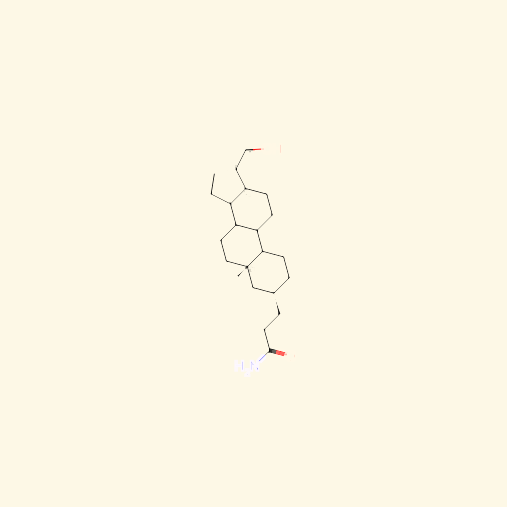 C[C@H](O)[C@H]1CCC2C3CC[C@H]4C[C@H](CCC(N)=O)CC[C@]4(C)C3CC[C@@]21C